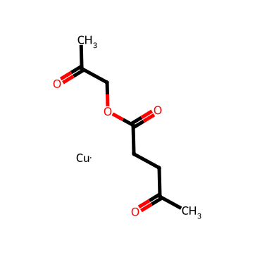 CC(=O)CCC(=O)OCC(C)=O.[Cu]